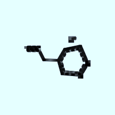 O=C([O-])Cc1ccnnc1.[Li+]